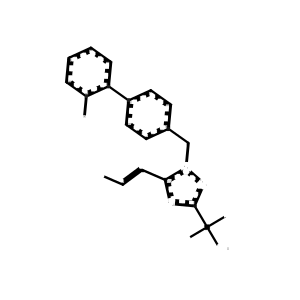 CC/C=C/c1nc(C(F)(F)CCCC)nn1Cc1ccc(-c2ccccc2C(=O)O)cc1